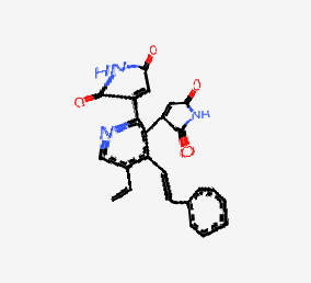 C=Cc1cnc(C2=CC(=O)NC2=O)c(C2=CC(=O)NC2=O)c1C=Cc1ccccc1